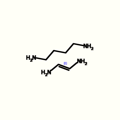 N/C=C/N.NCCCCN